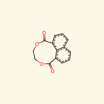 O=C1OCCOC(=O)c2cccc3cccc1c23